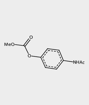 [CH2]OC(=O)Oc1ccc(NC(C)=O)cc1